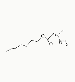 CCCCCCCOC(=O)/C=C(/C)N